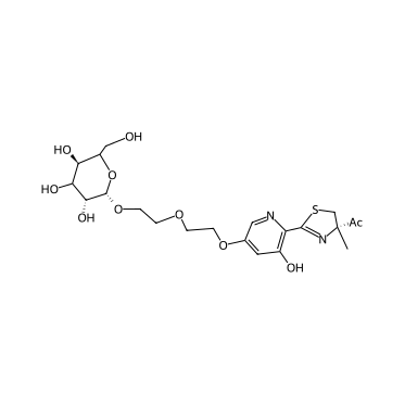 CC(=O)[C@@]1(C)CSC(c2ncc(OCCOCCO[C@H]3OC(CO)[C@H](O)C(O)[C@H]3O)cc2O)=N1